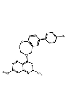 COc1ccc2c(N3CCOc4ccc(-c5ccc(NC(C)=O)cc5)cc4C3)nc(C)nc2c1